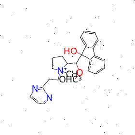 C[N+]1(CCc2ncccn2)CCCC1C(OC=O)C1(O)c2ccccc2-c2ccccc21